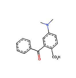 CN(C)c1ccc(C(=O)O)c(C(=O)c2ccccc2)c1